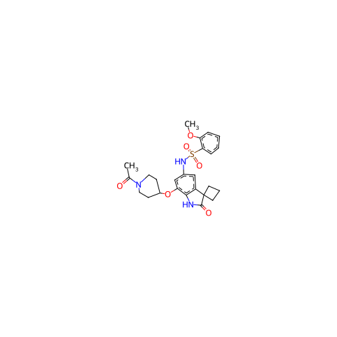 COc1ccccc1S(=O)(=O)Nc1cc(OC2CCN(C(C)=O)CC2)c2c(c1)C1(CCC1)C(=O)N2